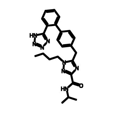 CCCCn1nc(C(=O)NC(C)C)nc1Cc1ccc(-c2ccccc2-c2nnn[nH]2)cc1